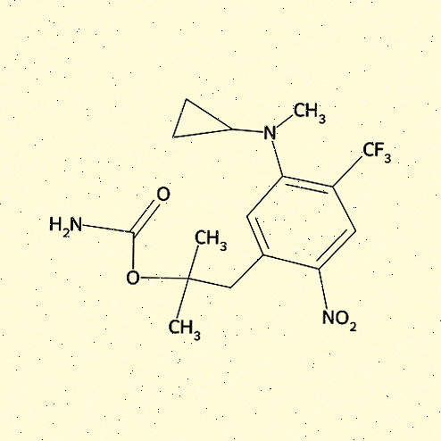 CN(c1cc(CC(C)(C)OC(N)=O)c([N+](=O)[O-])cc1C(F)(F)F)C1CC1